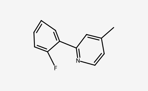 Cc1ccnc(-c2ccccc2F)c1